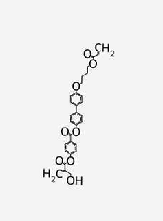 C=CC(=O)OCCCCOc1ccc(-c2ccc(OC(=O)c3ccc(OC(=O)C(=C)CO)cc3)cc2)cc1